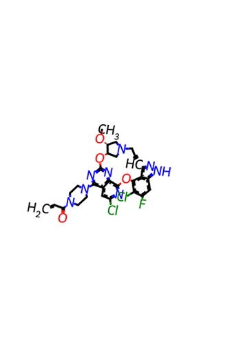 C#CCN1C[C@@H](OC)[C@H](Oc2nc(N3CCN(C(=O)C=C)CC3)c3cc(Cl)nc(Oc4c(Cl)c(F)cc5[nH]ncc45)c3n2)C1